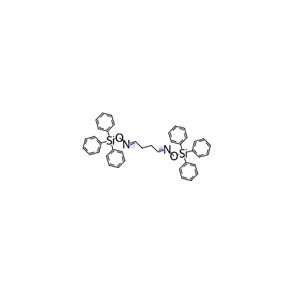 C(/CC/C=N/O[Si](c1ccccc1)(c1ccccc1)c1ccccc1)=N\O[Si](c1ccccc1)(c1ccccc1)c1ccccc1